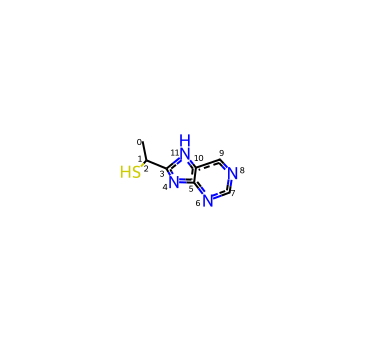 CC(S)c1nc2ncncc2[nH]1